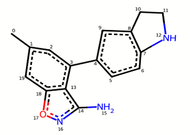 Cc1cc(-c2ccc3c(c2)CCN3)c2c(N)noc2c1